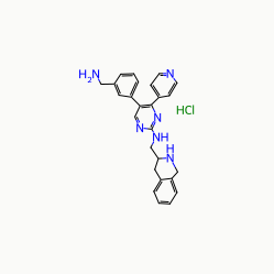 Cl.NCc1cccc(-c2cnc(NCC3Cc4ccccc4CN3)nc2-c2ccncc2)c1